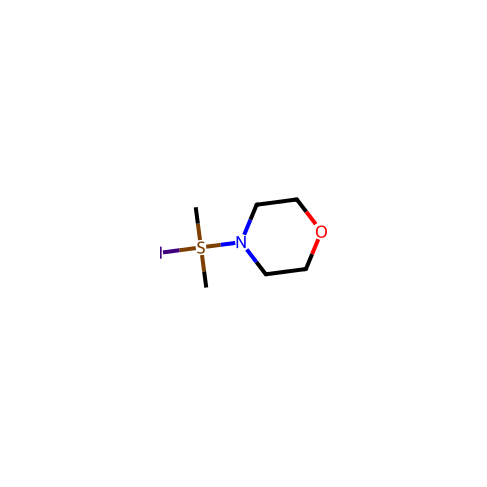 CS(C)(I)N1CCOCC1